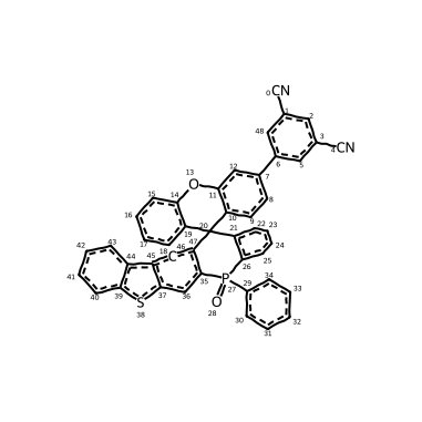 N#Cc1cc(C#N)cc(-c2ccc3c(c2)Oc2ccccc2C32c3ccccc3P(=O)(c3ccccc3)c3cc4sc5ccccc5c4cc32)c1